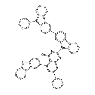 O=c1nc(-n2c3ccccc3c3ccc(-c4ccc5c(c4)c4ccccc4n5-c4ccccc4)cc32)nc2cc(-c3ccccc3)cc(-c3ccc4oc5ccccc5c4c3)n12